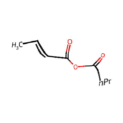 CC=CC(=O)OC(=O)CCC